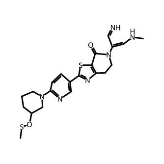 CN/C=C(\C=N)N1CCc2nc(-c3ccc(N4CCCC(OSC)C4)nc3)sc2C1=O